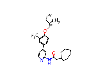 CC(C)C[C@@H](C)COc1ccc(-c2ccnc(NC(=O)CC3CCCCCC3)c2)cc1C(F)(F)F